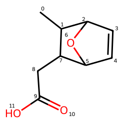 CC1C2C=CC(O2)C1CC(=O)O